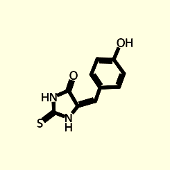 O=C1NC(=S)NC1=Cc1ccc(O)cc1